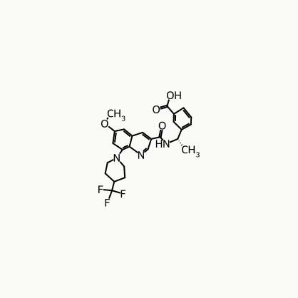 COc1cc(N2CCC(C(F)(F)F)CC2)c2ncc(C(=O)N[C@@H](C)c3cccc(C(=O)O)c3)cc2c1